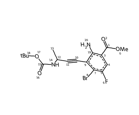 COC(=O)c1cc(F)c(Br)c(C#CC(C)NC(=O)OC(C)(C)C)c1N